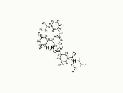 CCCN(CCC)C(=O)c1cc(C)cc(C(=O)OC(CNCc2cccc(C(C)CC)c2)C(N)Cc2cc(F)cc(F)c2)c1